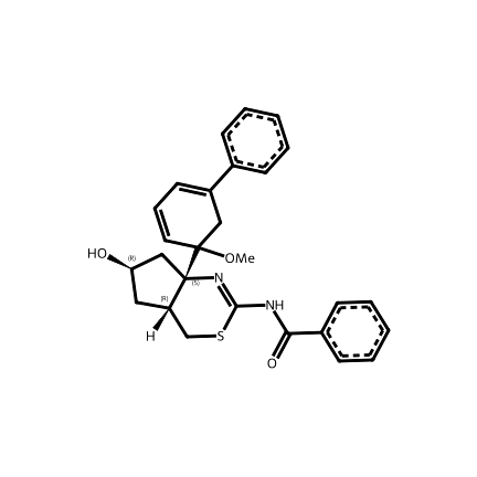 COC1([C@]23C[C@H](O)C[C@H]2CSC(NC(=O)c2ccccc2)=N3)C=CC=C(c2ccccc2)C1